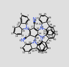 N#Cc1c(N2c3ccccc3C3C=CC=CC32)c(C#N)c(-n2c3ccccc3c3ccccc32)c(-n2c3ccccc3c3ccccc32)c1-n1c2ccccc2c2ccccc21